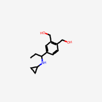 CCC(NC1CC1)c1ccc(CO)c(CO)c1